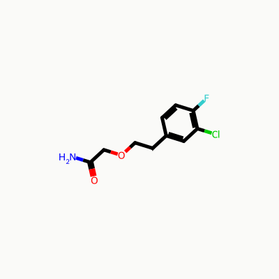 NC(=O)COC[CH]c1ccc(F)c(Cl)c1